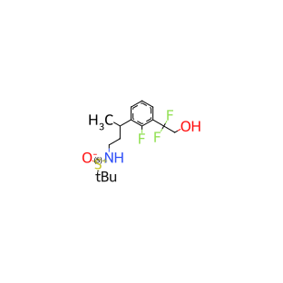 CC(CCN[S@+]([O-])C(C)(C)C)c1cccc(C(F)(F)CO)c1F